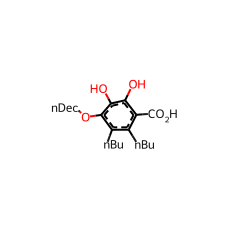 CCCCCCCCCCOc1c(O)c(O)c(C(=O)O)c(CCCC)c1CCCC